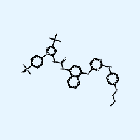 CCCSc1ccc(Nc2nccc(Oc3ccc(NC(=O)Nc4cc(C(C)(C)C)nn4-c4ccc(P(C)(C)=O)cc4)c4ccccc34)n2)cc1